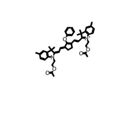 CC(=O)OCCN1/C(=C/C=C2\CCC(/C=C/C3=[N+](CCOC(C)=O)c4ccc(C)cc4C3(C)C)=C2Oc2ccccc2)C(C)(C)c2cc(C)ccc21